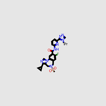 CC(C)n1cnnc1-c1cccc(NC(=O)c2cc3c(cc2F)CN(S(C)(=O)=O)Cc2c(C4CC4)ncn2-3)n1